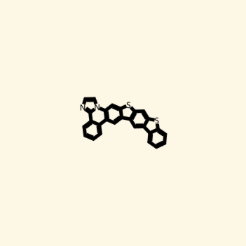 c1ccc2c(c1)sc1cc3sc4cc5c(cc4c3cc12)c1ccccc1c1nccn51